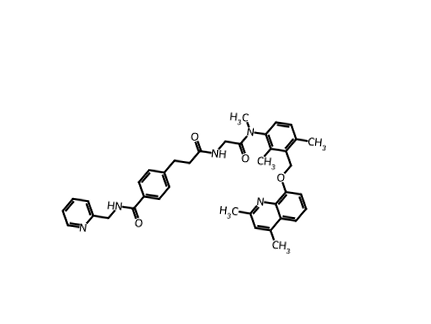 Cc1cc(C)c2cccc(OCc3c(C)ccc(N(C)C(=O)CNC(=O)CCc4ccc(C(=O)NCc5ccccn5)cc4)c3C)c2n1